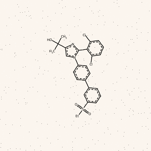 CCS(=O)(=O)c1cccc(-c2ccc(-n3cc(C(C)(C)O)nc3-c3c(Cl)cccc3Cl)cc2)c1